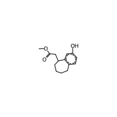 COC(=O)CC1CCCCc2ccc(O)cc21